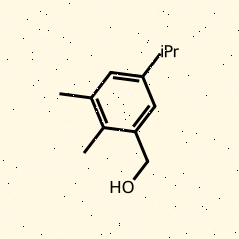 Cc1cc(C(C)C)cc(CO)c1C